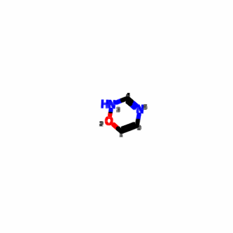 C1=CONC=N1